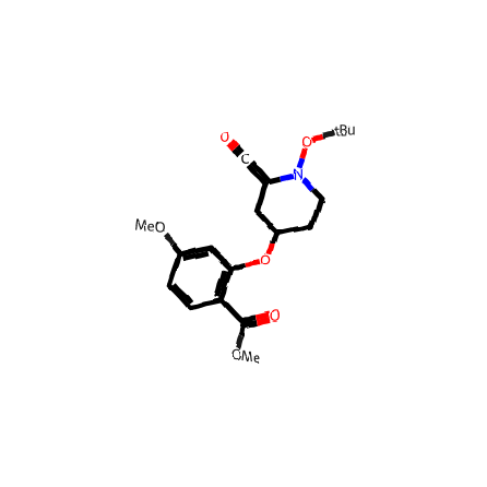 COC(=O)c1ccc(OC)cc1OC1CCN(OC(C)(C)C)C(=C=O)C1